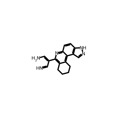 N=C/C(=C\N)c1nc2ccc3[nH]ncc3c2c2c1CCCC2